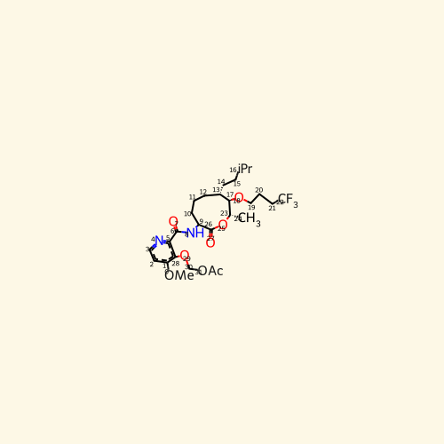 COc1ccnc(C(=O)NC2CCC[C@H](CCC(C)C)[C@@H](OCCCC(F)(F)F)[C@H](C)OC2=O)c1OCOC(C)=O